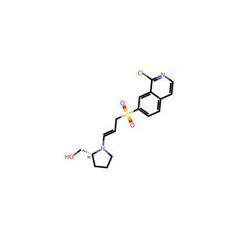 O=S(=O)(CC=CN1CCC[C@@H]1CO)c1ccc2ccnc(Cl)c2c1